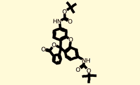 CC(C)(C)OC(=O)Nc1ccc2c(c1)Oc1cc(NC(=O)OC(C)(C)C)ccc1C21OC(=O)c2ccccc21